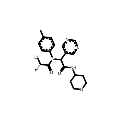 Cc1ccc(N(C(=O)[C@H](F)Cl)[C@H](C(=O)NC2CCOCC2)c2cncnc2)cc1